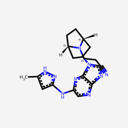 Cc1cc(Nc2cnc3ncn([C@@H]4C[C@H]5CC[C@@H](C4)N5CCC#N)c3n2)n[nH]1